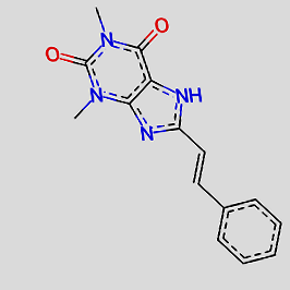 Cn1c(=O)c2[nH]c(C=Cc3ccccc3)nc2n(C)c1=O